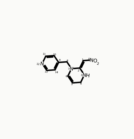 O=[N+]([O-])C=C1NCC=CN1Cc1ccncc1